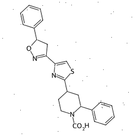 O=C(O)N1CCC(c2nc(C3=NOC(c4ccccc4)C3)cs2)CC1c1ccccc1